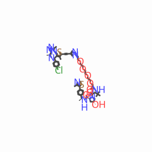 Cc1ncsc1-c1ccc([C@H](C)NC(=O)[C@@H]2C[C@@H](O)CN2C(=O)[C@@H](NC(=O)COCCOCCOCCOCCn2cc(C#Cc3sc4c(c3C)C(c3ccc(Cl)cc3)=N[C@@H](C)c3nnc(C)n3-4)cn2)C(C)(C)C)cc1